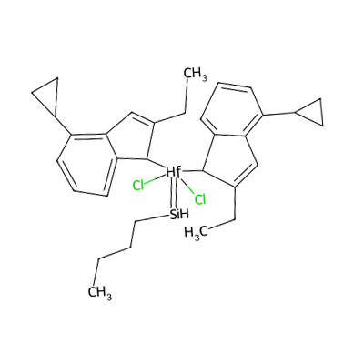 CCCC[SiH]=[Hf]([Cl])([Cl])([CH]1C(CC)=Cc2c(C3CC3)cccc21)[CH]1C(CC)=Cc2c(C3CC3)cccc21